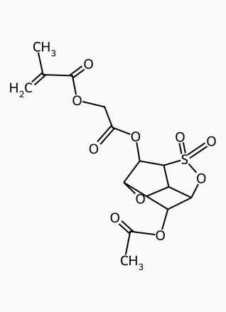 C=C(C)C(=O)OCC(=O)OC1C2OC3C(OS(=O)(=O)C13)C2OC(C)=O